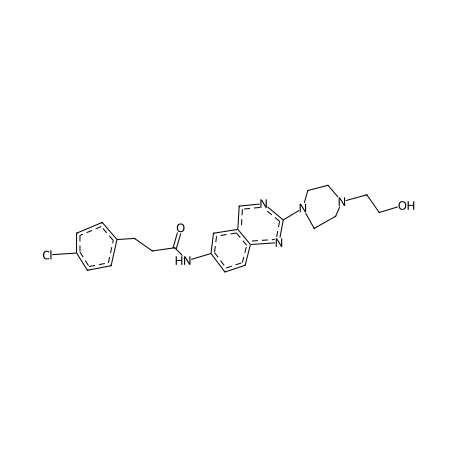 O=C(CCc1ccc(Cl)cc1)Nc1ccc2nc(N3CCN(CCO)CC3)ncc2c1